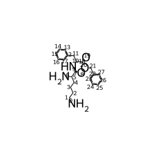 NCCCCC(N)C(=O)NC(Cc1ccccc1)C(=O)OCc1ccccc1